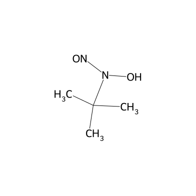 CC(C)(C)N(O)N=O